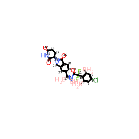 Bc1cc(Cl)cc(B)c1C(F)(F)C(=O)N(B)C(B)c1ccc2c(c1)CN(C1CCC(=O)NC1=O)C2=O